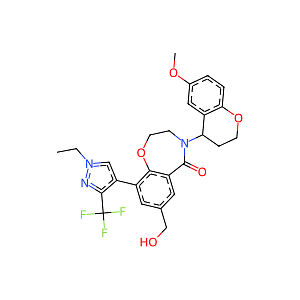 CCn1cc(-c2cc(CO)cc3c2OCCN(C2CCOc4ccc(OC)cc42)C3=O)c(C(F)(F)F)n1